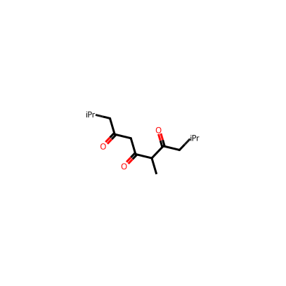 CC(C)CC(=O)CC(=O)C(C)C(=O)CC(C)C